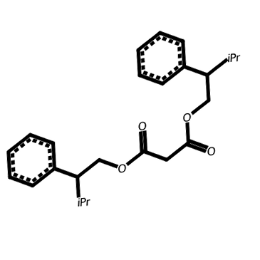 CC(C)C(COC(=O)CC(=O)OCC(c1ccccc1)C(C)C)c1ccccc1